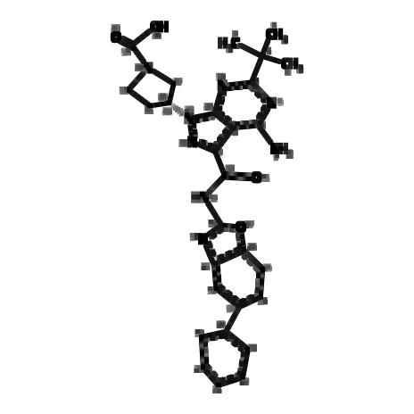 CC(C)(C)c1nc(N)c2c(C(=O)Nc3nc4cc(-c5ccccc5)ccc4o3)nn([C@@H]3CCN(C(=O)O)C3)c2n1